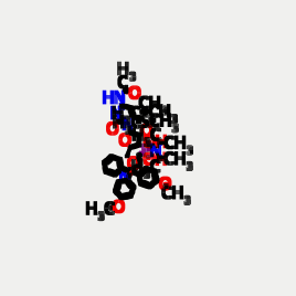 COc1ccc(C(OC[C@H]2O[C@@H](n3ccc(NC(C)=O)nc3=O)[C@@H](O[Si](C)(C)C(C)(C)C)[C@@H]2P(O)(O)(CCC#N)N(C(C)C)C(C)C)(c2ccccc2)c2ccc(OC)cc2)cc1